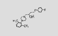 Cc1cccc(C)c1N1[CH]CN(CC(O)CCOc2ccc(F)cc2)CC1